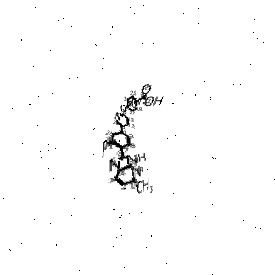 Cc1ccc2nc(-c3ccc(-c4ccc(OC56CCC(C(=O)O)(CC5)CC6)nc4)cc3F)[nH]c2n1